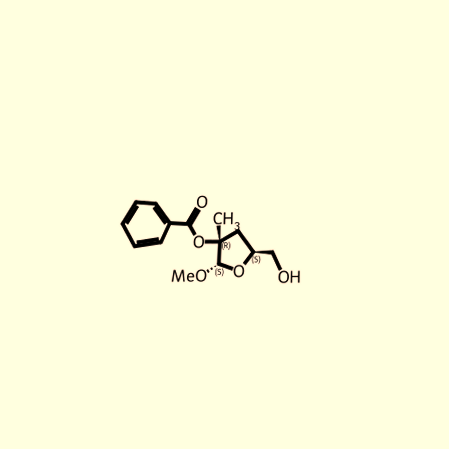 CO[C@H]1O[C@H](CO)C[C@@]1(C)OC(=O)c1ccccc1